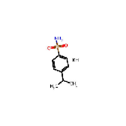 CC(C)c1ccc(S(N)(=O)=O)cc1.[KH]